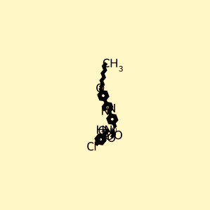 CCCCCCCOc1ccc(-c2cnc(-c3ccc(C[C@H](NS(=O)(=O)c4ccc(Cl)cc4)C(=O)O)cc3)nc2)cc1